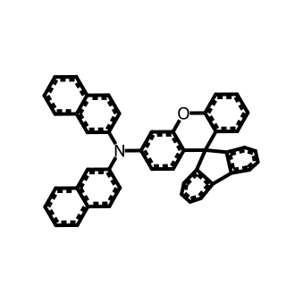 c1ccc2c(c1)Oc1cc(N(c3ccc4ccccc4c3)c3ccc4ccccc4c3)ccc1C21c2ccccc2-c2ccccc21